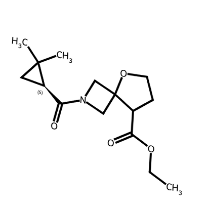 CCOC(=O)C1CCOC12CN(C(=O)[C@H]1CC1(C)C)C2